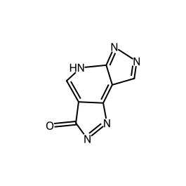 O=C1N=Nc2c1c[nH]c1nncc2-1